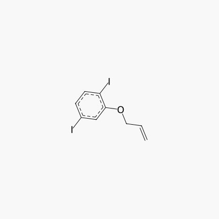 C=CCOc1cc(I)ccc1I